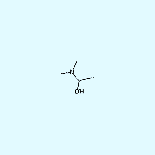 [CH2]C(O)N(C)C